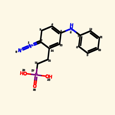 [N-]=[N+]=C1CC=C(Nc2ccccc2)C=C1CCP(=O)(O)O